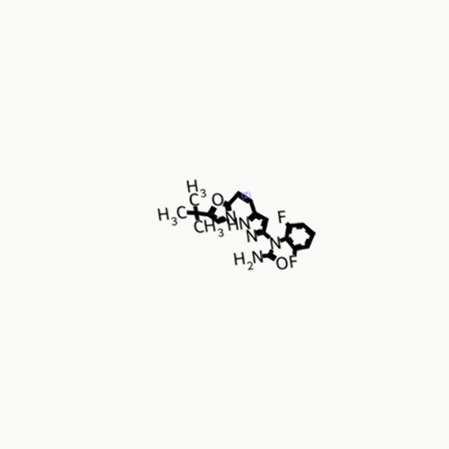 CC(C)(C)c1cnc(/C=C\c2cc(N(C(N)=O)c3c(F)cccc3F)n[nH]2)o1